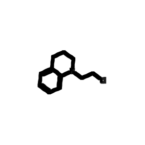 ClCCN1CCCc2ccccc21